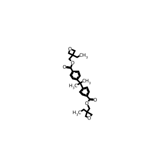 CCC1(COC(=O)c2ccc(C(C)(C)c3ccc(C(=O)OCC4(CC)COC4)cc3)cc2)COC1